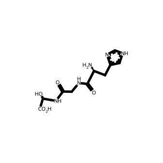 N[C@@H](Cc1c[nH]cn1)C(=O)NCC(=O)NC(O)C(=O)O